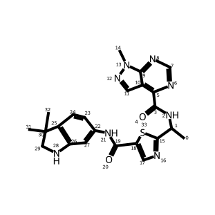 CC(NC(=O)c1ncnc2c1cnn2C)c1ncc(C(=O)Nc2ccc3c(c2)NCC3(C)C)s1